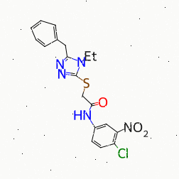 CCn1c(Cc2ccccc2)nnc1SCC(=O)Nc1ccc(Cl)c([N+](=O)[O-])c1